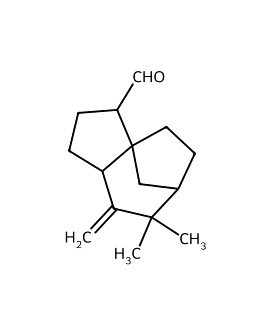 C=C1C2CCC(C=O)C23CCC(C3)C1(C)C